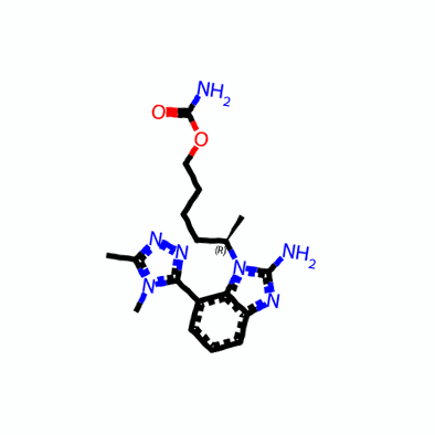 Cc1nnc(-c2cccc3nc(N)n([C@H](C)CCCCOC(N)=O)c23)n1C